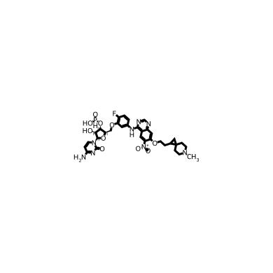 CN1CCC2(CC1)CC2CCOc1cc2ncnc(Nc3ccc(F)c(OC[C@H]4O[C@@H](n5ccc(N)nc5=O)[C@H](O)[C@@H]4O[PH](=O)O)c3)c2cc1[N+](=O)[O-]